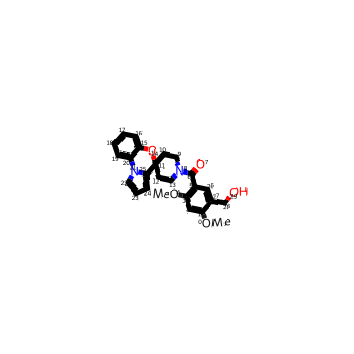 COc1cc(OC)c(C(=O)N2CCC3(CC2)Oc2ccccc2-n2cccc23)cc1CO